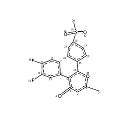 Cc1cc(=O)c(-c2ccc(F)c(F)c2)c(-c2ccc(S(C)(=O)=O)cc2)o1